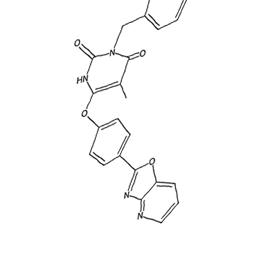 Cc1c(Oc2ccc(-c3nc4ncccc4o3)cc2)[nH]c(=O)n(Cc2ccccc2)c1=O